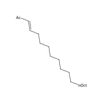 CCCCCCCCCCCCCCCCC=CC(C)=O